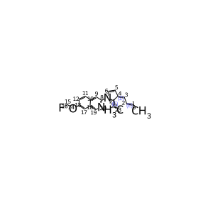 C/C=C/C=c1/ccn(-c2cc3ccc(OCF)cc3cn2)/c1=C/C